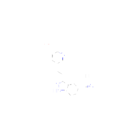 COc1c(C#N)ccc2[nH]nc(C=Cc3cncc(CO)c3)c12